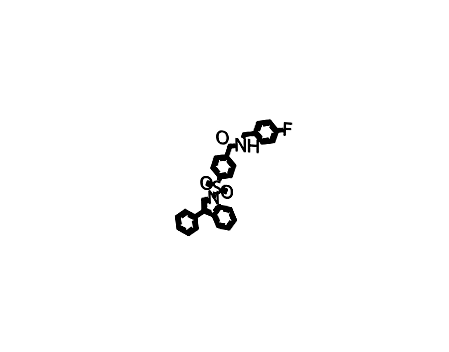 O=C(NCc1ccc(F)cc1)c1ccc(S(=O)(=O)n2cc(-c3ccccc3)c3ccccc32)cc1